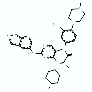 C[C@@H]1C(=O)N(c2ccc(N3CCN(C)CC3)c(C#N)c2)c2cnc(Nc3cnc4[nH]ncc4c3)nc2N1[C@H]1CC[C@H](C)CC1